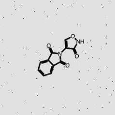 O=C1c2ccccc2C(=O)N1c1co[nH]c1=O